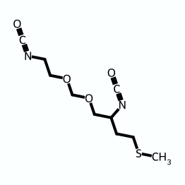 CSCCC(COCOCCN=C=O)N=C=O